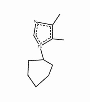 Cc1ncn(C2CCCCC2)c1C